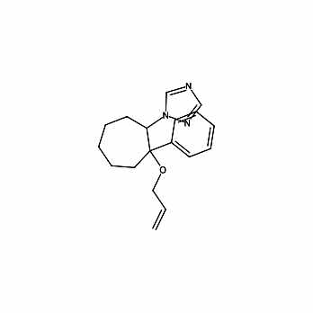 C=CCOC1(c2ccccc2)CCCCCC1n1cncn1